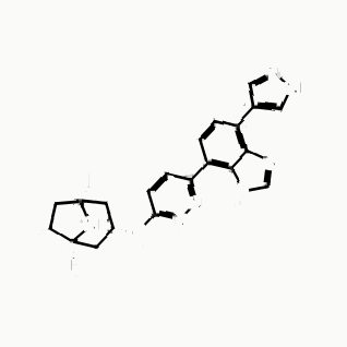 c1nc2c(-c3cn[nH]c3)ccc(-c3ccc(O[C@@H]4C[C@H]5CC[C@@H](C4)N5)nn3)c2s1